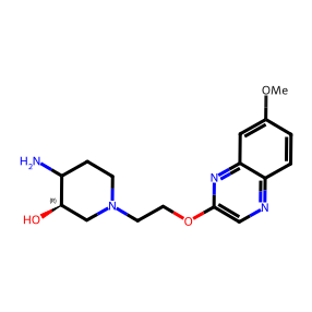 COc1ccc2ncc(OCCN3CCC(N)[C@H](O)C3)nc2c1